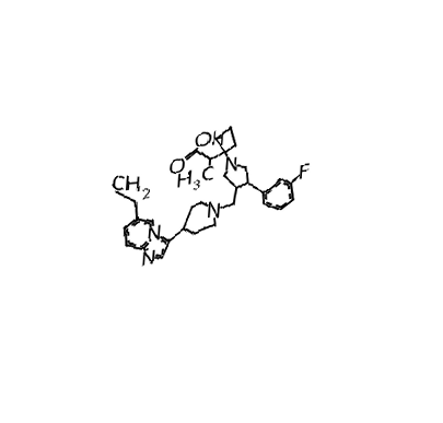 C=CCc1ccc2ncc(C3CCN(CC4CN(C5(C(C)C(=O)O)CCC5)CC4c4cccc(F)c4)CC3)n2c1